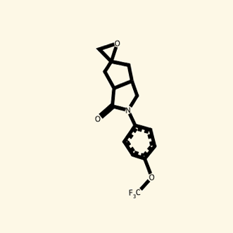 O=C1C2CC3(CO3)CC2CN1c1ccc(OC(F)(F)F)cc1